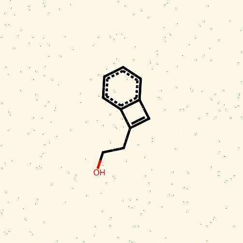 OCCC1=Cc2ccccc21